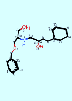 OC[C@H](COCc1ccccc1)NC[C@@H](O)CCC1CCCCC1